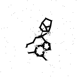 CCCCO[C@H]1CC2CCC(C1)[C@H]2NC(=O)c1ccn2c(C)cc(C)nc12